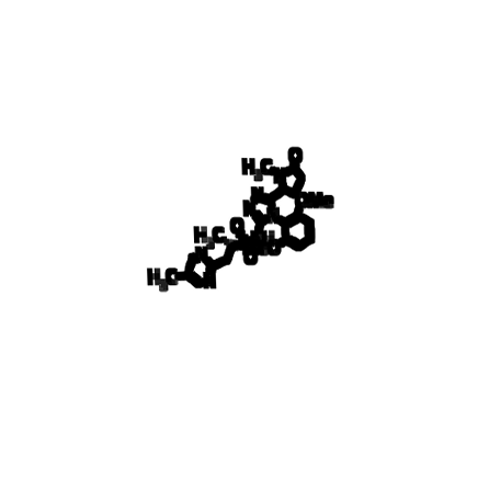 COc1cccc(OC)c1-n1c(NS(=O)(=O)[C@@H](C)Cc2ncc(C)cn2)nnc1C1CCC(=O)N1C